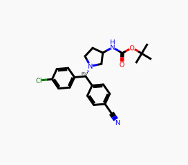 CC(C)(C)OC(=O)NC1CCN([C@@H](c2ccc(Cl)cc2)c2ccc(C#N)cc2)C1